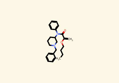 C=C(OCCCC)C(=O)N(c1ccccc1)C1CCCN(Cc2ccccc2)C1